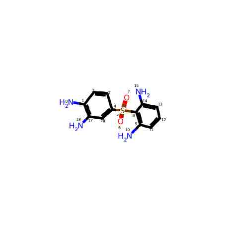 Nc1ccc(S(=O)(=O)c2c(N)cccc2N)cc1N